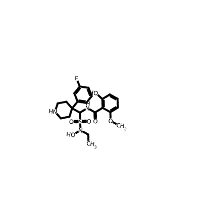 CCN(O)S(=O)(=O)C(NC(=O)c1c(O)cccc1OC)C1(c2cccc(F)c2)CCNCC1